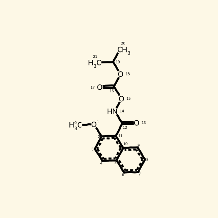 COc1ccc2ccccc2c1C(=O)NOC(=O)OC(C)C